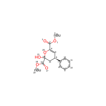 CCCCOC(=O)C1=C[C@@H](c2ccccc2)CC(O)(C(=O)OCCCC)O1